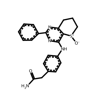 NC(=O)Cc1ccc(Nc2nc(-c3ccccc3)nc3c2[S+]([O-])CCC3)cc1